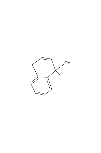 CC1(O)C=CCc2ccccc21